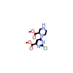 COC(=O)c1cc(N2CCNCC2C(=O)OC)nc(Cl)n1